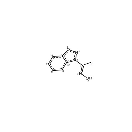 CC(=NO)c1noc2ccccc12